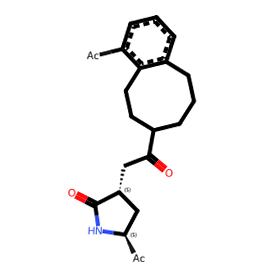 CC(=O)c1cccc2c1CCC(C(=O)C[C@@H]1C[C@@H](C(C)=O)NC1=O)CCC2